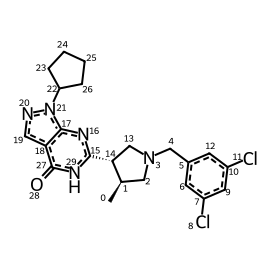 C[C@@H]1CN(Cc2cc(Cl)cc(Cl)c2)C[C@H]1c1nc2c(cnn2C2CCCC2)c(=O)[nH]1